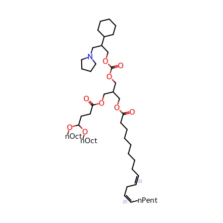 CCCCC/C=C\C/C=C\CCCCCCCC(=O)OCC(COC(=O)CCC(OCCCCCCCC)OCCCCCCCC)COC(=O)OCC(CN1CCCC1)C1CCCCC1